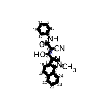 Cn1nc(/C(O)=C(\C#N)C(=O)Nc2ccccc2)c2ccc3ccccc3c21